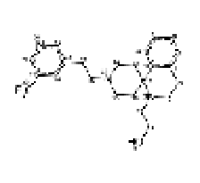 OCCN1CCc2ccccc2C12CCN(CCc1cncc(C(F)(F)F)c1)CC2